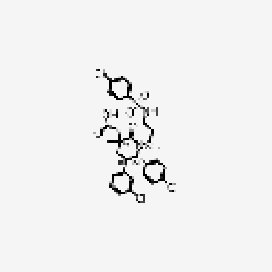 C[C@@H](CCNS(=O)(=O)c1ccc(Cl)cc1)N1C(=O)[C@@](C)(CC(=O)O)C[C@H](c2cccc(Cl)c2)[C@H]1c1ccc(Cl)cc1